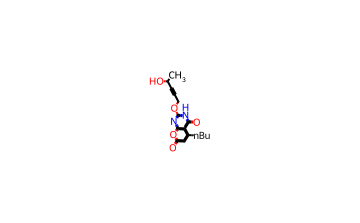 CCCCc1cc(=O)oc2nc(OCC#CC(C)O)[nH]c(=O)c12